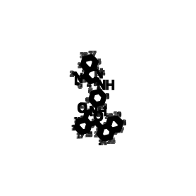 CN(C)c1cc(NC2CCC(NC(=O)c3ccccc3C(=O)c3cccc4ccccc34)CC2)nc2ccccc12